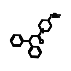 CCC[CH]C1CCN(C(=O)CC(c2ccccc2)c2ccccc2)CC1